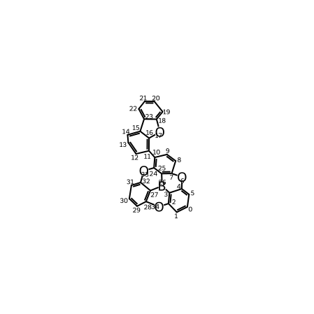 c1cc2c3c(c1)Oc1ccc(-c4cccc5c4oc4ccccc45)c4c1B3c1c(cccc1O4)O2